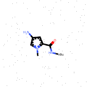 CCCCNC(=O)c1cc(N)cn1C